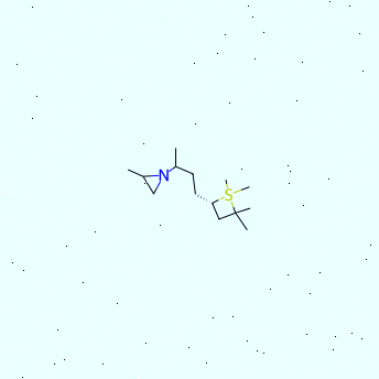 CC(CC[C@H]1CC(C)(C)S1(C)C)N1CC1C